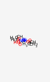 CC(C)(C)OC(=O)N[C@@H](Cc1cn(COC(=O)C(C)(C)C)nn1)C(=O)O